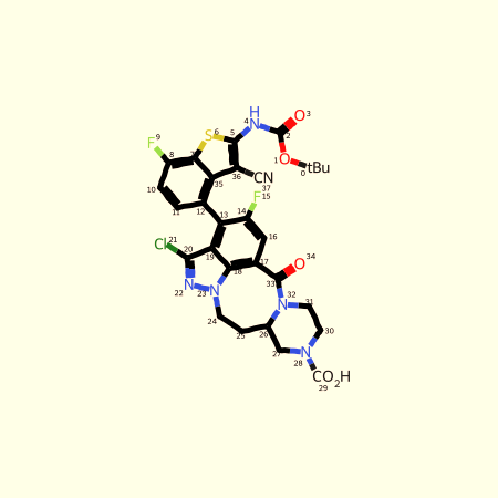 CC(C)(C)OC(=O)Nc1sc2c(F)ccc(-c3c(F)cc4c5c3c(Cl)nn5CCC3CN(C(=O)O)CCN3C4=O)c2c1C#N